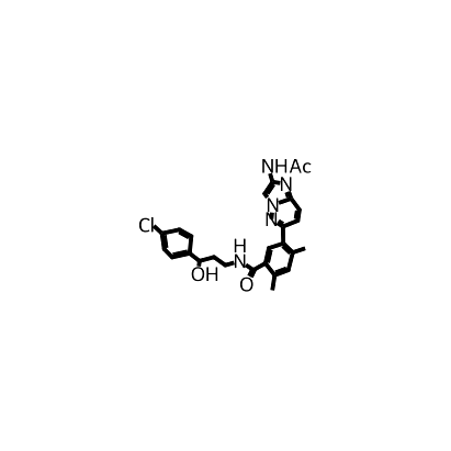 CC(=O)Nc1cn2nc(-c3cc(C(=O)NCCC(O)c4ccc(Cl)cc4)c(C)cc3C)ccc2n1